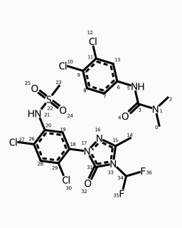 CN(C)C(=O)Nc1ccc(Cl)c(Cl)c1.Cc1nn(-c2cc(NS(C)(=O)=O)c(Cl)cc2Cl)c(=O)n1C(F)F